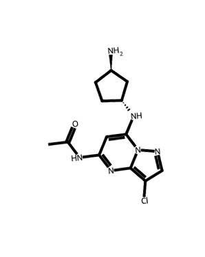 CC(=O)Nc1cc(N[C@@H]2CC[C@@H](N)C2)n2ncc(Cl)c2n1